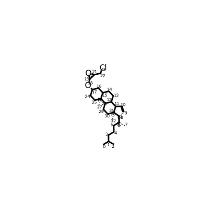 CC(C)CCC[C@@H](C)[C@H]1C=CC2C3CCC4CC(OC5OC5CCl)CC[C@]4(C)C3CC[C@@]21C